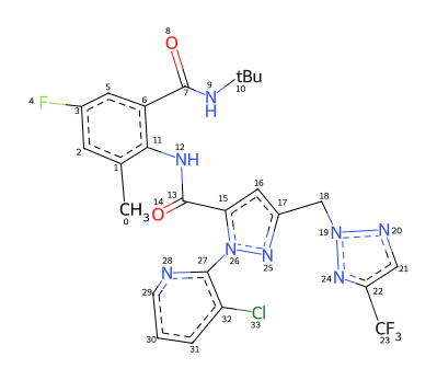 Cc1cc(F)cc(C(=O)NC(C)(C)C)c1NC(=O)c1cc(Cn2ncc(C(F)(F)F)n2)nn1-c1ncccc1Cl